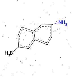 Bc1ccc2cc(N)ccc2c1